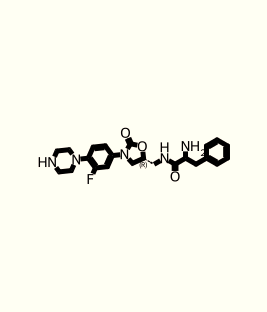 NC(Cc1ccccc1)C(=O)NC[C@@H]1CN(c2ccc(N3CCNCC3)c(F)c2)C(=O)O1